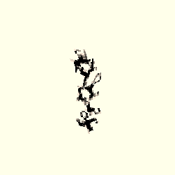 CC(C)(C)OC(=O)N1CCN(c2cnc(Cl)cn2)C(=O)C1